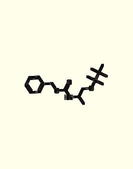 C[C](CO[Si](C)(C)C(C)(C)C)NC(=O)OCc1ccccc1